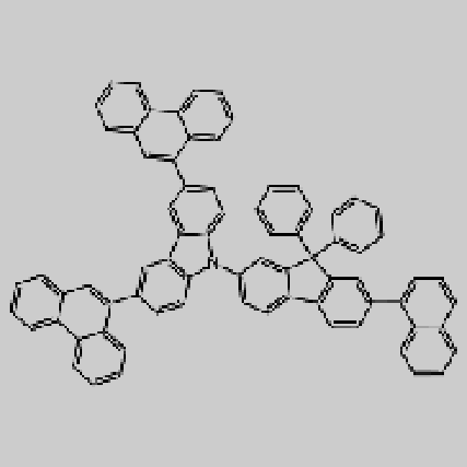 c1ccc(C2(c3ccccc3)c3cc(-c4cccc5ccccc45)ccc3-c3ccc(-n4c5ccc(-c6cc7ccccc7c7ccccc67)cc5c5cc(-c6cc7ccccc7c7ccccc67)ccc54)cc32)cc1